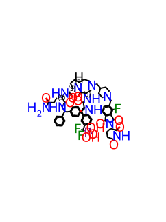 NC(=O)CC[C@H](NC(=O)[C@@H]1CC[C@@H]2CCN(CC3CCN(Cc4ccc5c(c4F)C(=O)N(C4CCC(=O)NC4=O)C5=O)CC3)C[C@H](NC(=O)c3cc4cc(C(F)(F)P(=O)(O)O)ccc4[nH]3)C(=O)N21)C(=O)NC(c1ccccc1)c1ccccc1